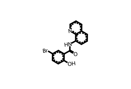 O=C(Nc1cccc2cccnc12)c1cc(Br)ccc1O